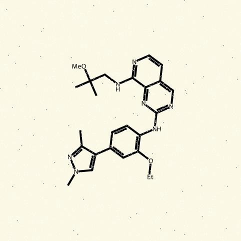 CCOc1cc(-c2cn(C)nc2C)ccc1Nc1ncc2ccnc(NCC(C)(C)OC)c2n1